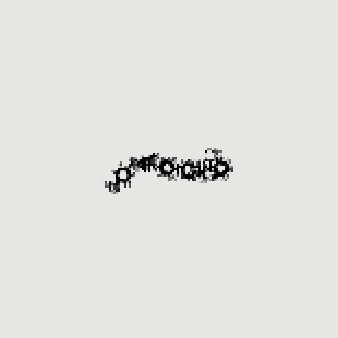 C=C(CNCc1ccc(OC)cc1)Nc1ccc(N2CCN(C(=C)Nc3c(C)cccc3Cl)CC2)cc1